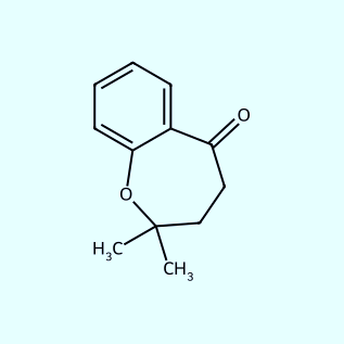 CC1(C)CCC(=O)c2ccccc2O1